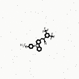 COc1ccc(-n2c3ccccc3c3cc(C=C(C#N)c4cc(C(F)(F)F)cc(C(F)(F)F)c4)ccc32)cc1